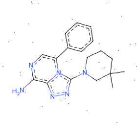 CC1(C)CCCN(c2nnc3c(N)ncc(-c4ccccc4)n23)C1